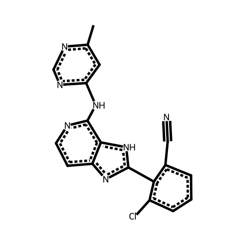 Cc1cc(Nc2nccc3nc(-c4c(Cl)cccc4C#N)[nH]c23)ncn1